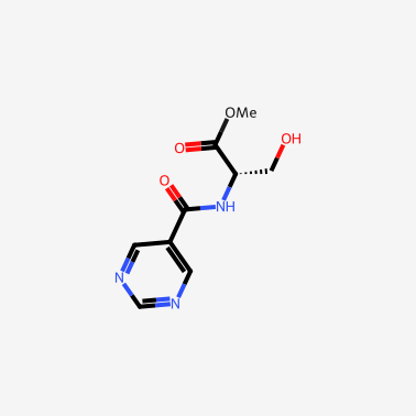 COC(=O)[C@H](CO)NC(=O)c1cncnc1